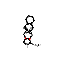 CCOC(=O)c1[nH]cc2c1C1c3cc4ccccc4cc3C2C2OC(C)(C)OC12